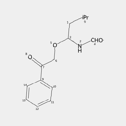 CC(C)CC(N[C]=O)OCC(=O)c1ccccc1